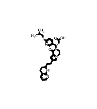 CC(C)COc1ccc([C@H](CC(=O)O)N2CCn3cc(CCC4CCc5cccnc5N4)cc3C2=O)cn1